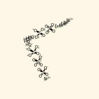 O=S(=O)([O-])[O-].O=S(=O)([O-])[O-].O=S(=O)([O-])[O-].O=S(=O)([O-])[O-].O=S(=O)([O-])[O-].[Fe+3].[Fe+3].[Fe+3].[Ni+2].[Ni+2].[Ni+2].[OH-].[OH-].[OH-].[OH-].[OH-]